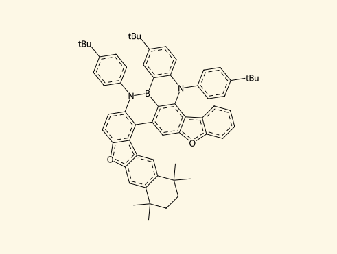 CC(C)(C)c1ccc(N2B3c4cc(C(C)(C)C)ccc4N(c4ccc(C(C)(C)C)cc4)c4c3c(cc3oc5ccccc5c43)-c3c2ccc2oc4cc5c(cc4c32)C(C)(C)CCC5(C)C)cc1